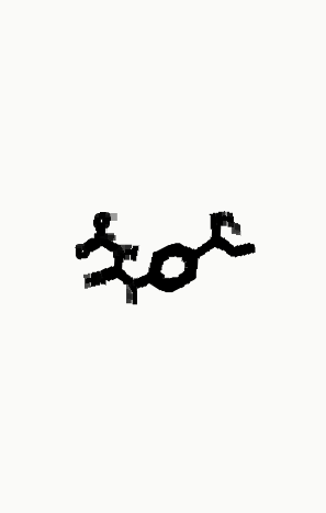 CCC(N)c1ccc(NC(=N)N[N+](=O)[O-])cc1